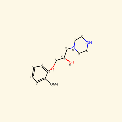 COc1ccccc1OC[C@H](O)CN1CCNCC1